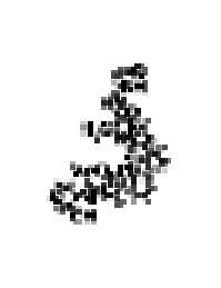 COc1nc(-c2cccc(-c3cccc(-c4ccn5c(=O)c(CNC[C@@H]6CCC(=O)N6)c(C)nc5c4)c3Cl)c2Cl)ccc1CN[C@H]1CCOC[C@H]1O